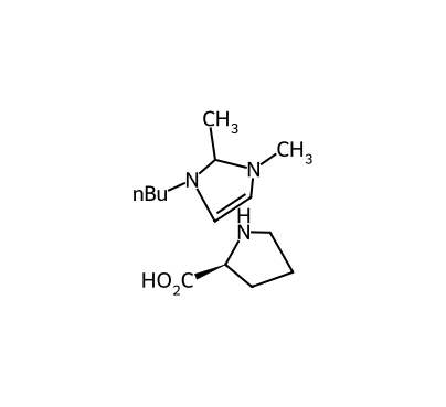 CCCCN1C=CN(C)C1C.O=C(O)[C@@H]1CCCN1